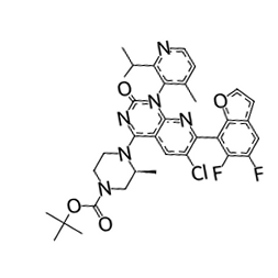 Cc1ccnc(C(C)C)c1-n1c(=O)nc(N2CCN(C(=O)OC(C)(C)C)C[C@@H]2C)c2cc(Cl)c(-c3c(F)c(F)cc4ccoc34)nc21